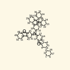 c1ccc(-c2ccc3c(c2)oc2cc(N(c4ccc([Si](c5ccccc5)(c5ccccc5)c5ccccc5)cc4)c4ccc5c(c4)oc4ccccc45)ccc23)cc1